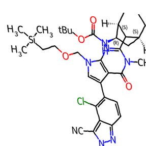 CCn1nc2ccc(-c3cn(COCC[Si](C)(C)C)c4nc(C5[C@H]6CCC[C@@H]5[C@H](NC(=O)OC(C)(C)C)C6)n(C)c(=O)c34)c(Cl)c2c1C#N